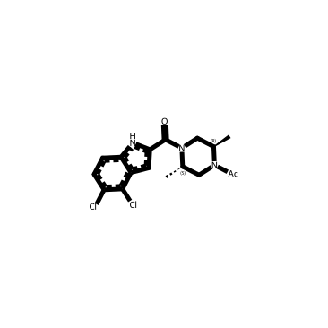 CC(=O)N1C[C@H](C)N(C(=O)c2cc3c(Cl)c(Cl)ccc3[nH]2)C[C@H]1C